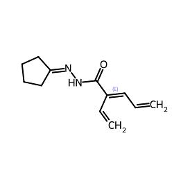 C=C/C=C(\C=C)C(=O)NN=C1CCCC1